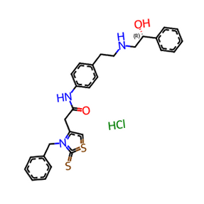 Cl.O=C(Cc1csc(=S)n1Cc1ccccc1)Nc1ccc(CCNC[C@H](O)c2ccccc2)cc1